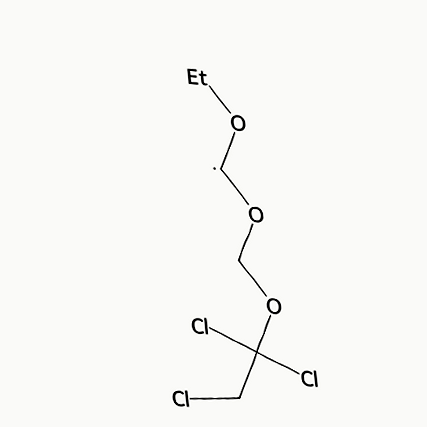 CCO[CH]OCOC(Cl)(Cl)CCl